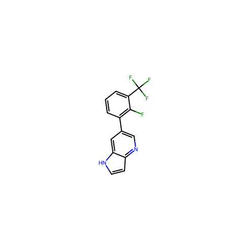 Fc1c(-c2cnc3cc[nH]c3c2)cccc1C(F)(F)F